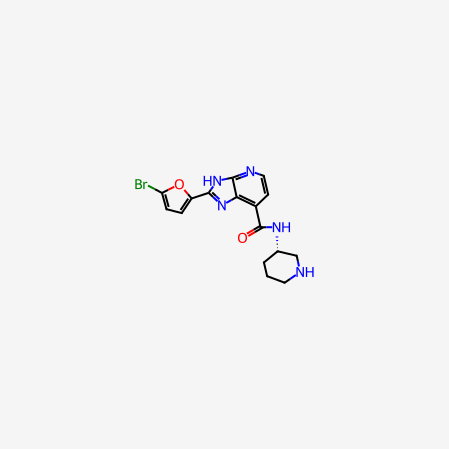 O=C(N[C@H]1CCCNC1)c1ccnc2[nH]c(-c3ccc(Br)o3)nc12